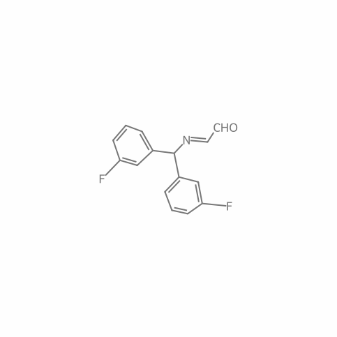 O=CC=NC(c1cccc(F)c1)c1cccc(F)c1